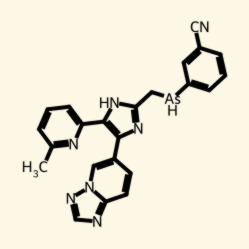 Cc1cccc(-c2[nH]c(C[AsH]c3cccc(C#N)c3)nc2-c2ccc3ncnn3c2)n1